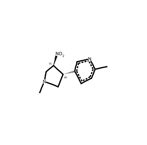 Cc1ccc([C@@H]2CN(C)C[C@H]2[N+](=O)[O-])cn1